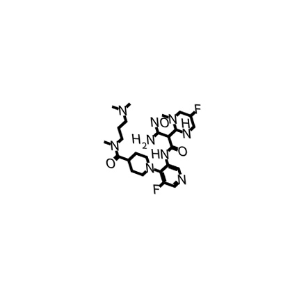 CN(C)CCCN(C)C(=O)C1CCN(c2c(F)cncc2NC(=O)C(C(N)N=O)C2NCC(F)CN2C)CC1